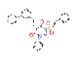 CCN(C(=O)C(CCc1cccc(-c2ccccc2)c1)C(=O)NS(=O)(=O)C=Cc1ccccc1)c1ccccc1